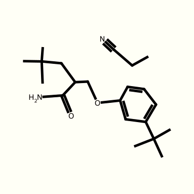 CC(C)(C)CC(COc1cccc(C(C)(C)C)c1)C(N)=O.CCC#N